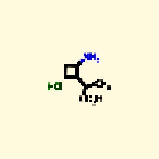 CC(C(=O)O)C1CCC1N.Cl